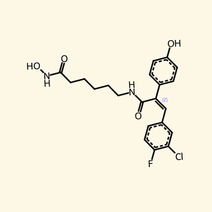 O=C(CCCCCNC(=O)/C(=C\c1ccc(F)c(Cl)c1)c1ccc(O)cc1)NO